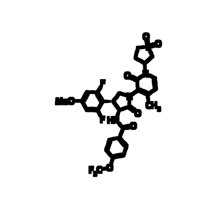 COc1cc(F)c([C@@H]2CN(c3c(C)ccn(C4CCS(=O)(=O)C4)c3=O)C(=O)[C@H]2NC(=O)c2ccc(OC(F)(F)F)cc2)c(F)c1